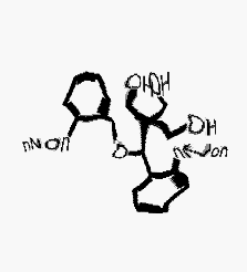 CCCCCCCCCc1ccccc1OC(c1ccccc1CCCCCCCCC)C(CO)(CO)CO